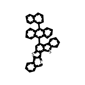 c1ccc2c(-c3c4ccccc4c(-c4cc5sc6c7ccccc7ccc6c5c5sc6ccccc6c45)c4ccccc34)cccc2c1